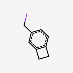 ICc1ccc2c(c1)CC2